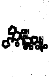 CC1(CC2CCCC2)C(=O)C(C2=NS(=O)(=O)c3cc(NS(C)(=O)=O)ccc3N2)=C(O)c2ccccc21